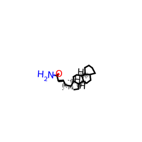 C[C@H](C=CC(N)=O)[C@H]1CC[C@H]2[C@@H]3CCC4CCCC[C@]4(C)[C@H]3CC[C@]12C